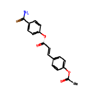 CCCCC(=O)Oc1ccc(/C=C/C(=O)Oc2ccc(C(N)=S)cc2)cc1